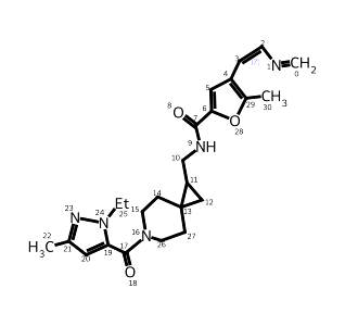 C=N/C=C\c1cc(C(=O)NCC2CC23CCN(C(=O)c2cc(C)nn2CC)CC3)oc1C